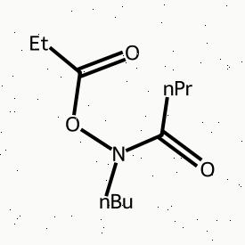 CCCCN(OC(=O)CC)C(=O)CCC